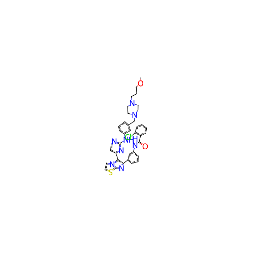 COCCCN1CCN(Cc2cccc(Nc3nccc(-c4c(-c5cccc(NC(=O)c6ccccc6Cl)c5)nc5sccn45)n3)c2)CC1